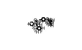 [2H]c1c([2H])c(C([2H])([2H])N(C(=O)NCc2ccc(OC([2H])([2H])C([2H])(C([2H])([2H])[2H])C([2H])([2H])[2H])cc2)C2CCN(C)CC2)c([2H])c([2H])c1F